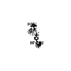 Cc1n[nH]c(C)c1C(=O)N1CCOC[C@H]1CNC(=O)c1ccc(C(=N)NC(=O)C(F)(F)F)cc1